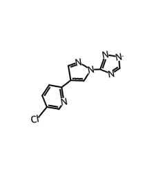 Clc1ccc(-c2cnn(C3=N[N]C=N3)c2)nc1